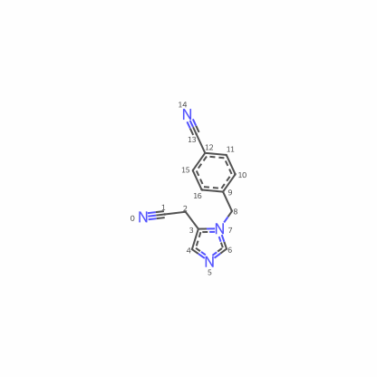 N#CCc1cncn1Cc1ccc(C#N)cc1